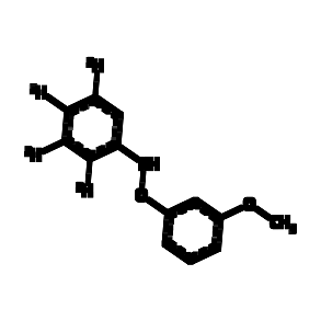 [2H]c1cc(NOc2cccc(OC)c2)c([2H])c([2H])c1[2H]